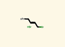 Br.CCCCC=CCBr